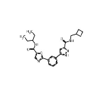 CCC(CC)NC(=O)c1cnc(-c2cccc(-c3cc(C(=O)NCC4CCC4)n[nH]3)c2)o1